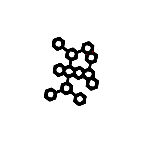 c1ccc(-c2cc(-c3ccccc3)cc(-c3c4ccccc4c(-c4cc(-c5ccccc5)cc(-c5ccccc5)c4)c4cc5c(cc34)c(-c3cccnc3)cc3ccccc35)c2)cc1